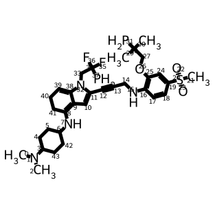 CN(C)C1CCC(NC2=c3cc(C#CCNc4ccc(S(C)(=O)=O)cc4OCC(C)(C)P)n(CC(F)(F)P)c3=CCC2)CC1